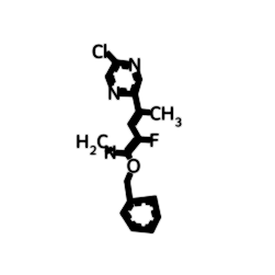 C=N/C(OCc1ccccc1)=C(F)\C=C(/C)c1cnc(Cl)cn1